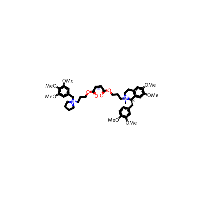 COc1ccc(C[C@@H]2c3cc(OC)c(OC)cc3CC[N@@+]2(C)CCCOC(=O)/C=C\C(=O)OCCC[N+]2(Cc3cc(OC)c(OC)c(OC)c3)CCCC2)cc1OC